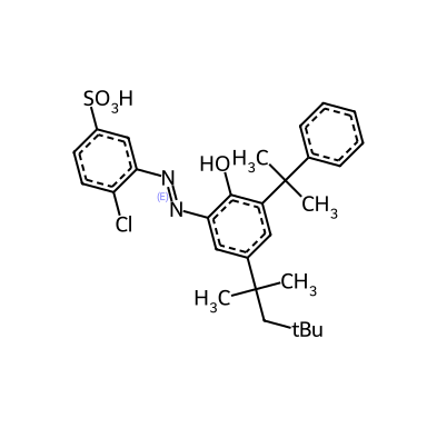 CC(C)(C)CC(C)(C)c1cc(/N=N/c2cc(S(=O)(=O)O)ccc2Cl)c(O)c(C(C)(C)c2ccccc2)c1